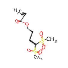 C=CC(=O)OCCCC(S(C)(=O)=O)S(C)(=O)=O